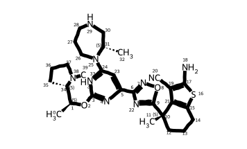 C[C@H](Oc1nc(-c2noc([C@@]3(C)CCCc4sc(N)c(C#N)c43)n2)cc(N2CCCNC[C@@H]2C)n1)[C@@H]1CCCN1C